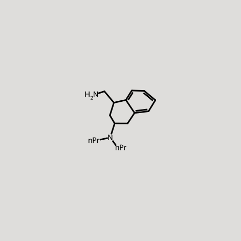 CCCN(CCC)C1Cc2ccccc2C(CN)C1